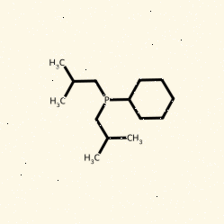 CC(C)CP(CC(C)C)C1CCCCC1